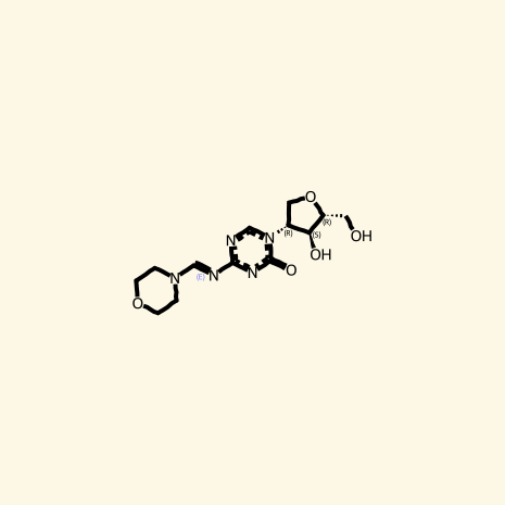 O=c1nc(/N=C/N2CCOCC2)ncn1[C@@H]1CO[C@H](CO)[C@H]1O